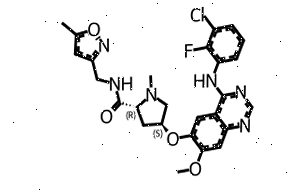 COc1cc2ncnc(Nc3cccc(Cl)c3F)c2cc1O[C@H]1C[C@H](C(=O)NCc2cc(C)on2)N(C)C1